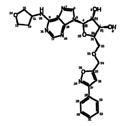 O[C@@H]1[C@H](O)[C@H](n2cnc3c(NC4CCOC4)ncnc32)O[C@@H]1COCc1cc(-c2ccccc2)no1